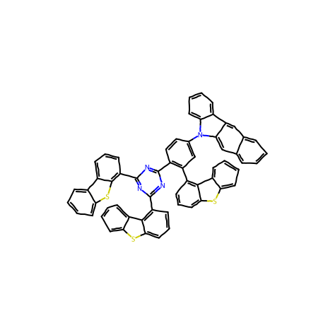 c1ccc2cc3c(cc2c1)c1ccccc1n3-c1ccc(-c2nc(-c3cccc4c3sc3ccccc34)nc(-c3cccc4sc5ccccc5c34)n2)c(-c2cccc3sc4ccccc4c23)c1